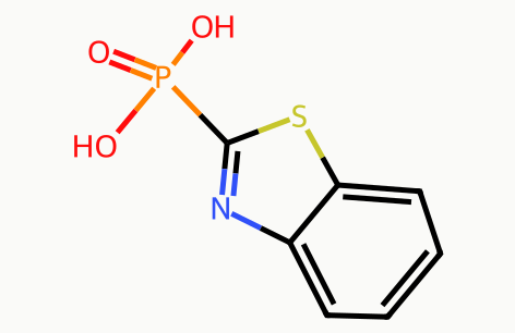 O=P(O)(O)c1nc2ccccc2s1